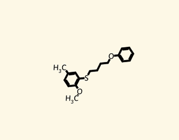 COc1ccc(C)cc1SCCCCOc1ccccc1